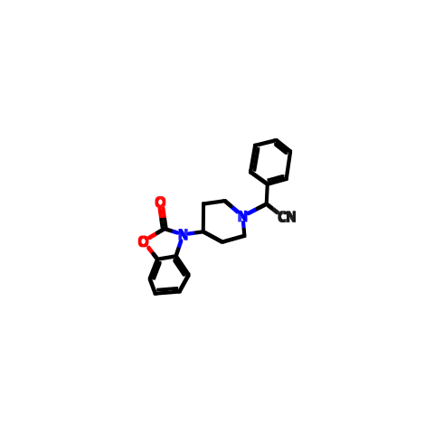 N#CC(c1ccccc1)N1CCC(n2c(=O)oc3ccccc32)CC1